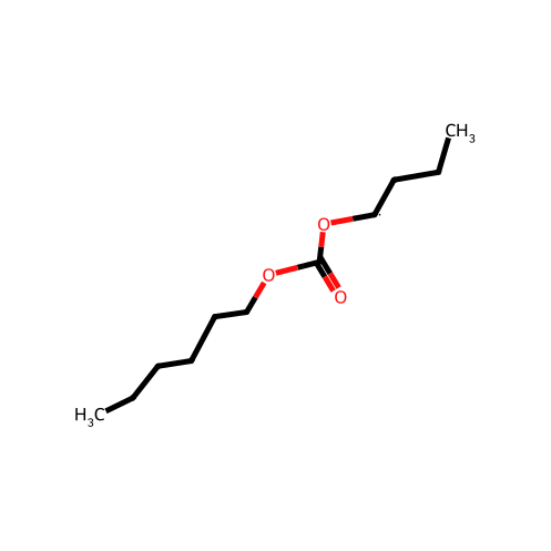 CCC[CH]OC(=O)OCCCCCC